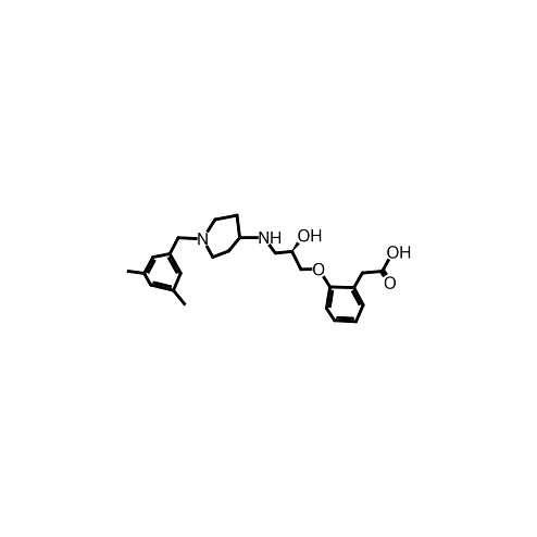 Cc1cc(C)cc(CN2CCC(NC[C@@H](O)COc3ccccc3CC(=O)O)CC2)c1